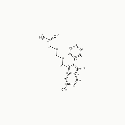 Cn1c(-c2cccnc2)c(CCCCCC(N)=O)c2cc(Cl)ccc21